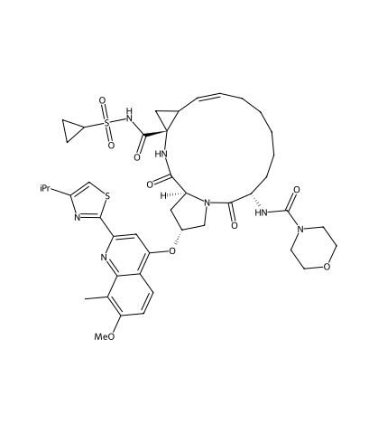 COc1ccc2c(O[C@@H]3C[C@H]4C(=O)N[C@]5(C(=O)NS(=O)(=O)C6CC6)CC5/C=C\CCCCC[C@H](NC(=O)N5CCOCC5)C(=O)N4C3)cc(-c3nc(C(C)C)cs3)nc2c1C